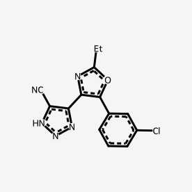 CCc1nc(-c2nn[nH]c2C#N)c(-c2cccc(Cl)c2)o1